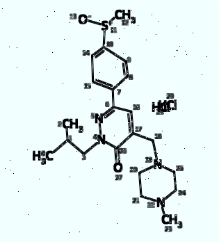 CC(C)Cn1nc(-c2ccc([S+](C)[O-])cc2)cc(CN2CCN(C)CC2)c1=O.Cl.Cl